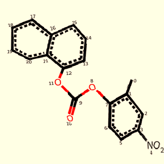 Cc1cc([N+](=O)[O-])ccc1OC(=O)Oc1cccc2ccccc12